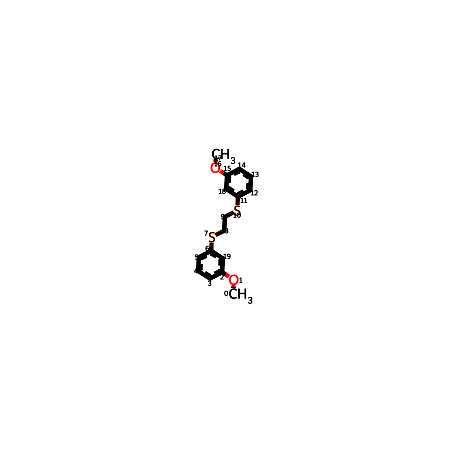 COc1cccc(SCCSc2cccc(OC)c2)c1